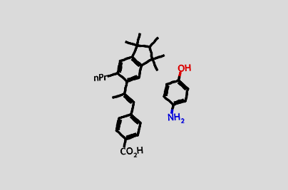 CCCc1cc2c(cc1/C(C)=C/c1ccc(C(=O)O)cc1)C(C)(C)C(C)C2(C)C.Nc1ccc(O)cc1